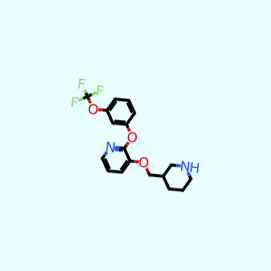 FC(F)(F)Oc1cccc(Oc2ncccc2OCC2CCCNC2)c1